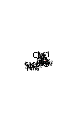 CSc1cnc(-n2ccc3cc(N(CC(=O)OC(C)(C)C)S(=O)(=O)c4cc(Cl)cc(Cl)c4)ccc32)cn1